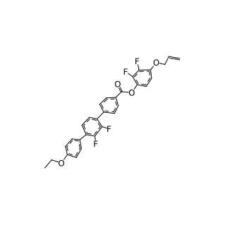 C=CCOc1ccc(OC(=O)c2ccc(-c3ccc(-c4ccc(OCC)cc4)c(F)c3F)cc2)c(F)c1F